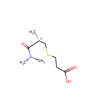 C[C@H](CSCCC(=O)O)C(=O)N(C)C